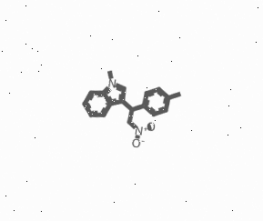 Cc1ccc(C(C[N+](=O)[O-])c2cn(C)c3ccccc23)cc1